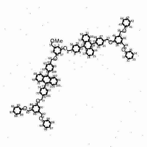 COCc1cc(OCc2ccc(-c3c4ccccc4c(-c4ccc(COc5cc(COc6ccccc6)cc(COc6ccccc6)c5)cc4)c4ccccc34)cc2)cc(OCc2ccc(-c3c4ccccc4c(-c4ccc(COc5cc(COc6ccccc6)cc(COc6ccccc6)c5)cc4)c4ccccc34)cc2)c1